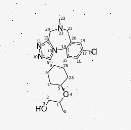 CC(CO)O[C@H]1CC[C@H](c2nnc3n2-c2ccc(Cl)cc2CN(C)C3)CC1